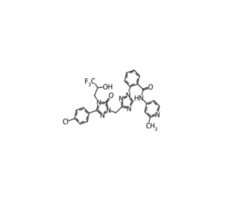 Cc1cc(NC(=O)c2ccccc2-n2cnc(Cn3nc(-c4ccc(Cl)cc4)n(CC(O)C(F)(F)F)c3=O)n2)ccn1